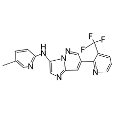 Cc1ccc(Nc2cnc3cc(-c4ncccc4C(F)(F)F)cnn23)nc1